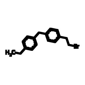 CCc1ccc(Cc2ccc(CCBr)cc2)cc1